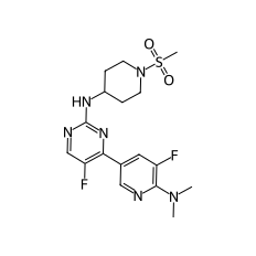 CN(C)c1ncc(-c2nc(NC3CCN(S(C)(=O)=O)CC3)ncc2F)cc1F